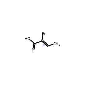 C/C=C(\Br)C(=O)O